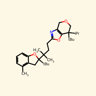 Cc1cccc2c1CC(C(C)(C)C)(C(C)(C)CCc1nc3c(o1)C(C(C)C)(C(C)(C)C)COC3)O2